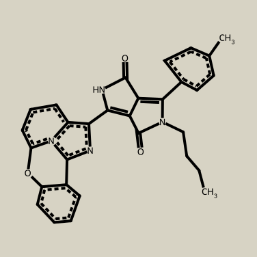 CCCCN1C(=O)C2=C(c3nc4n5c(cccc35)Oc3ccccc3-4)NC(=O)C2=C1c1ccc(C)cc1